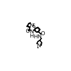 CN1CCC(CNC(=O)c2ccc3c(c2)NC(=O)c2cccn2S3)CC1